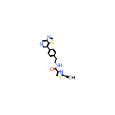 C#Cc1nc(C(=O)NCCc2ccc(-c3cncc4ncsc34)cc2)cs1